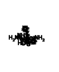 N=C(N)NCCC[C@@H]([C]=O)N(C(=O)c1cccc(CN)c1)C(=O)[C@H](N)CCCc1ccccc1